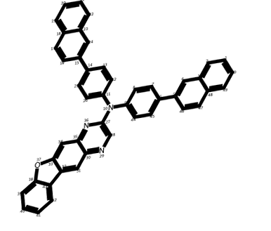 c1ccc2cc(-c3ccc(N(c4ccc(-c5ccc6ccccc6c5)cc4)c4cnc5cc6c(cc5n4)oc4ccccc46)cc3)ccc2c1